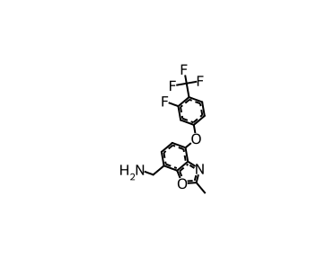 Cc1nc2c(Oc3ccc(C(F)(F)F)c(F)c3)ccc(CN)c2o1